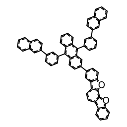 c1cc(-c2ccc3ccccc3c2)cc(-c2c3ccccc3c(-c3cccc(-c4ccc5ccccc5c4)c3)c3cc(-c4ccc5oc6c(ccc7c8ccccc8oc76)c5c4)ccc23)c1